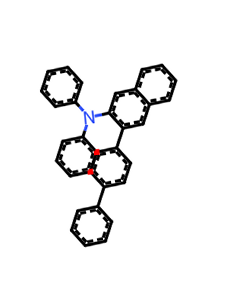 c1ccc(-c2ccc(-c3cc4ccccc4cc3N(c3ccccc3)c3ccccc3)cc2)cc1